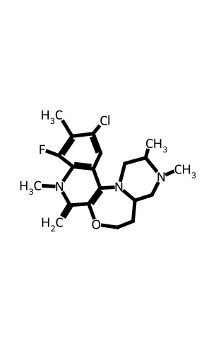 C=C1C2=C(c3cc(Cl)c(C)c(F)c3N1C)N1CC(C)N(C)CC1CCO2